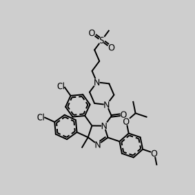 COc1ccc(C2=NC(C)(c3ccc(Cl)cc3)C(c3ccc(Cl)cc3)N2C(=O)N2CCN(CCCS(C)(=O)=O)CC2)c(OC(C)C)c1